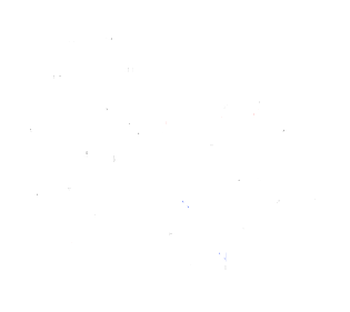 COCc1ccccc1C(CCN1CCNCC1C1=C2CC=CC=C2OOC1)C(=O)C1CCCCC1